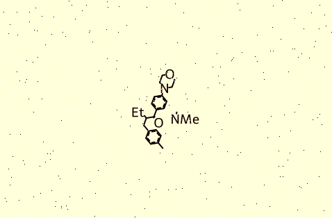 CCC(Cc1ccc(C)cc1)C(=O)c1ccc(N2CCOCC2)cc1.CNC